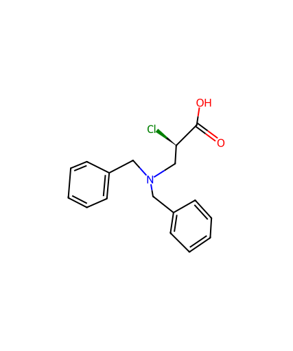 O=C(O)[C@H](Cl)CN(Cc1ccccc1)Cc1ccccc1